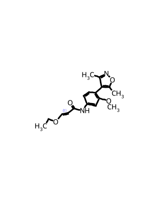 CCO/C=C/C(=O)Nc1ccc(-c2c(C)noc2C)c(OC)c1